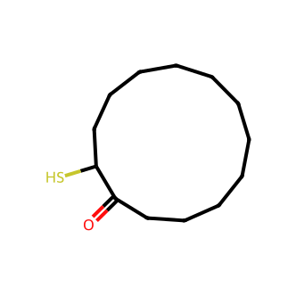 O=C1CCCCCCCCCCCC1S